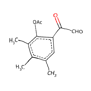 CC(=O)Oc1c(C(=O)C=O)cc(C)c(C)c1C